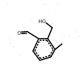 Cc1cccc(C=O)c1CO